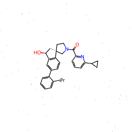 CC(C)c1ccccc1-c1ccc2c(c1)[C@@H](O)C[C@@]21CCN(C(=O)c2cccc(C3CC3)n2)C1